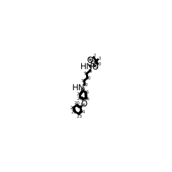 CC(C)(C)S(=O)(=O)NCCCCCNc1ccc(Oc2ccccc2)cc1